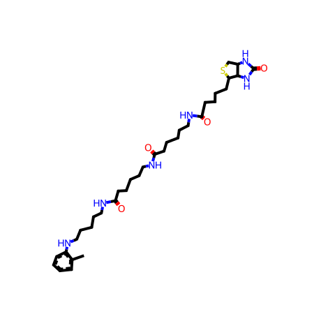 Cc1ccccc1NCCCCCNC(=O)CCCCCNC(=O)CCCCCNC(=O)CCCCC1SCC2NC(=O)NC21